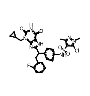 Cc1nn(C)c(Cl)c1S(=O)(=O)Nc1ccc(C(Cc2ccccc2F)c2nc3c([nH]2)c(=O)[nH]c(=O)n3CC2CC2)cc1